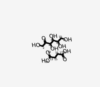 O=C(CO)C(O)C(O)C(O)CO.O=C(O)CCC(=O)O